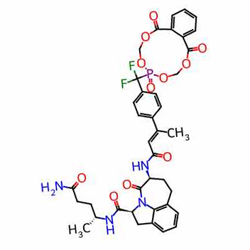 C/C(=C\C(=O)N[C@H]1CCc2cccc3c2N(C1=O)[C@H](C(=O)N[C@H](C)CCC(N)=O)C3)c1ccc(C(F)(F)P2(=O)OCOC(=O)c3ccccc3C(=O)OCO2)cc1